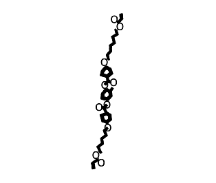 C=CC(=O)OCCCCCCCCOc1ccc(C(=O)Oc2ccc(OC(=O)c3ccc(OCCCCCCOC(=O)C=C)cc3)cc2C)cc1